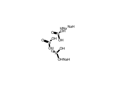 O=[Si](O)O.O=[Si](O)O.O=[Si](O)O.[NaH].[NaH].[NaH]